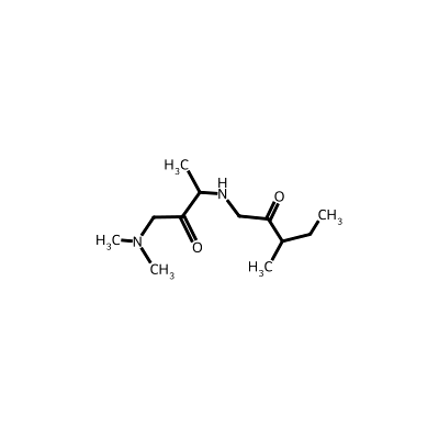 CCC(C)C(=O)CNC(C)C(=O)CN(C)C